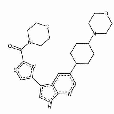 O=C(c1nc(-c2c[nH]c3ncc(C4CCC(N5CCOCC5)CC4)cc23)cs1)N1CCOCC1